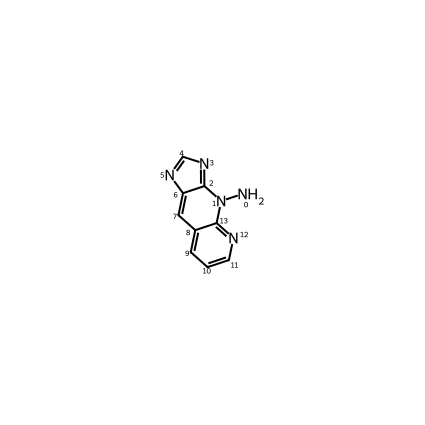 Nn1c2ncnc-2cc2cccnc21